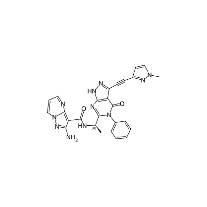 C[C@@H](NC(=O)c1c(N)nn2cccnc12)c1nc2[nH]nc(C#Cc3ccn(C)n3)c2c(=O)n1-c1ccccc1